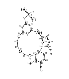 CS(=N)(=N)Cc1cc2cc(c1)OCCOCOc1c(ccc(F)c1F)-c1nc(ncc1F)N2